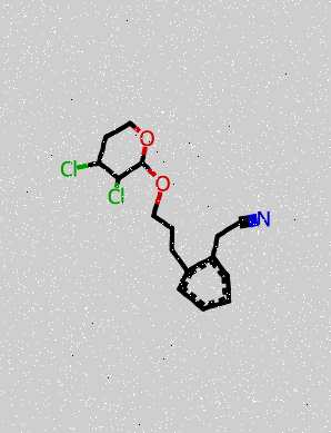 N#CCc1ccccc1CCCOC1OCCC(Cl)C1Cl